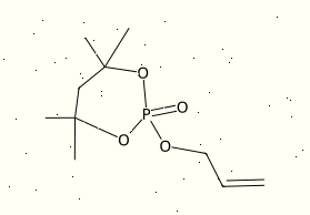 C=CCOP1(=O)OC(C)(C)CC(C)(C)O1